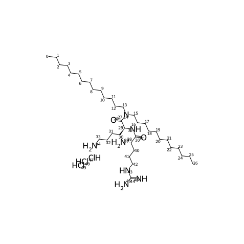 CCCCCCCCCCCCCCN(CCCCCCCCCCCC)C(=O)[C@H](CCCCN)NC(=O)[C@@H](N)CCCNC(=N)N.Cl.Cl.Cl